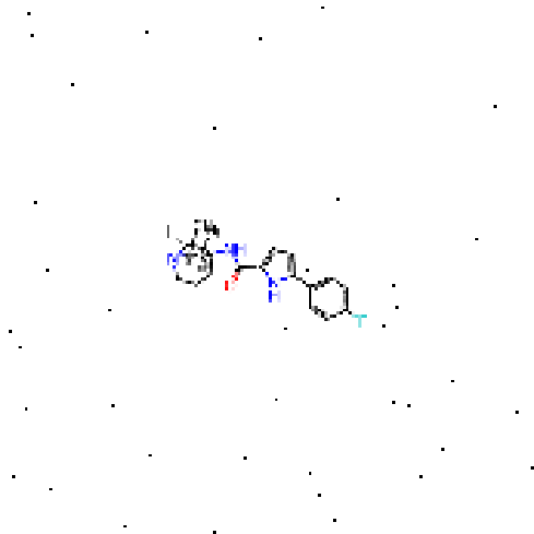 C[C@H]1[C@H](NC(=O)c2ccc(-c3ccc(F)cc3)[nH]2)C2CCN1CC2